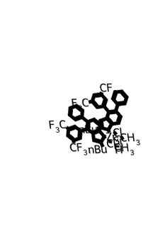 CCCCC1=Cc2c(ccc(-c3ccccc3)c2-c2cc(C(F)(F)F)cc(C(F)(F)F)c2)[CH]1[Zr]([Cl])([Cl])([CH]1C(CCCC)=Cc2c1ccc(-c1ccccc1)c2-c1cc(C(F)(F)F)cc(C(F)(F)F)c1)[SiH](C)C